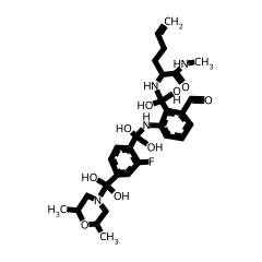 C=CCCC(NC(O)(O)c1c(C=O)cccc1NC(O)(O)c1ccc(C(O)(O)N2CC(C)OC(C)C2)cc1F)C(=O)NC